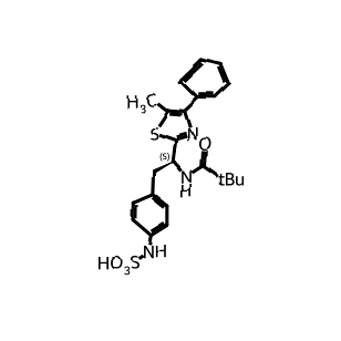 Cc1sc([C@H](Cc2ccc(NS(=O)(=O)O)cc2)NC(=O)C(C)(C)C)nc1-c1ccccc1